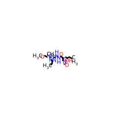 CCCCC[C@H](CN(O)C=O)C(=O)NNc1nc(CC)nc(N(C)CCOC)n1